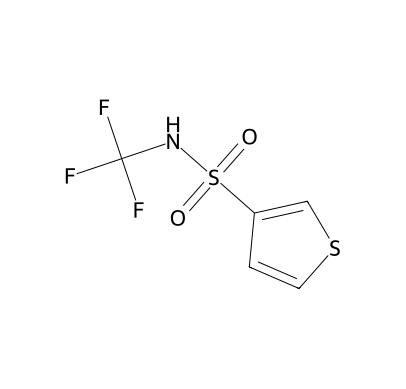 O=S(=O)(NC(F)(F)F)c1ccsc1